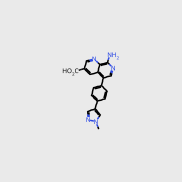 Cn1cc(-c2ccc(-c3cnc(N)c4ncc(C(=O)O)cc34)cc2)cn1